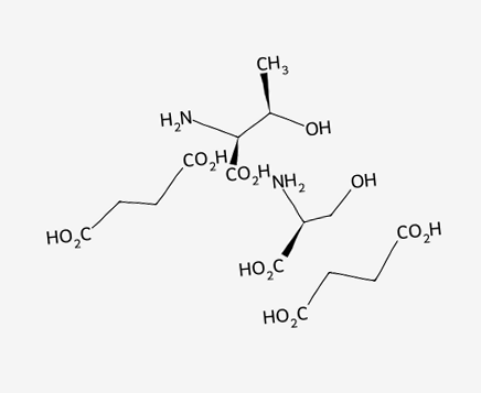 C[C@@H](O)[C@H](N)C(=O)O.N[C@@H](CO)C(=O)O.O=C(O)CCC(=O)O.O=C(O)CCC(=O)O